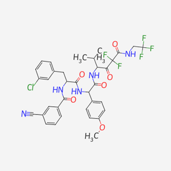 COc1ccc(C(NC(=O)C(Cc2cccc(Cl)c2)NC(=O)c2cccc(C#N)c2)C(=O)NC(C(=O)C(F)(F)C(=O)NCC(F)(F)F)C(C)C)cc1